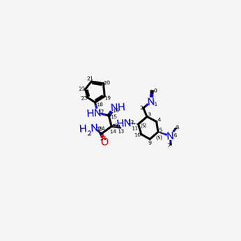 C=NCC1C[C@@H](N(C)C)CC[C@@H]1N/C=C(\C(=N)Nc1ccccc1)C(N)=O